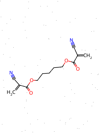 C=C(C#N)C(=O)OCCCCCOC(=O)C(=C)C#N